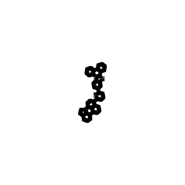 C1=CC2C=Cc3c2c(c2cccc4c(-c5cccc(-c6ccc7c(c6)nc6c8ccccc8c8ccccc8n76)n5)ccc3c42)=C1